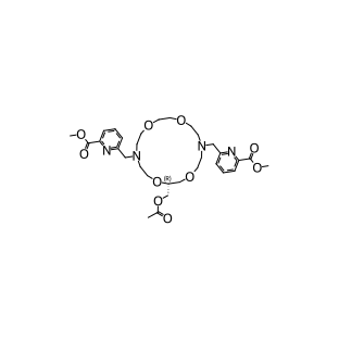 COC(=O)c1cccc(CN2CCOCCOCCN(Cc3cccc(C(=O)OC)n3)CCO[C@@H](COC(C)=O)COCC2)n1